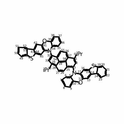 CC(C)c1cc(N2c3ccccc3Oc3cc4c(cc32)sc2ccccc24)c2ccc3c(C(C)C)cc(N4c5ccccc5Oc5cc6c(cc54)sc4ccccc46)c4ccc1c2c34